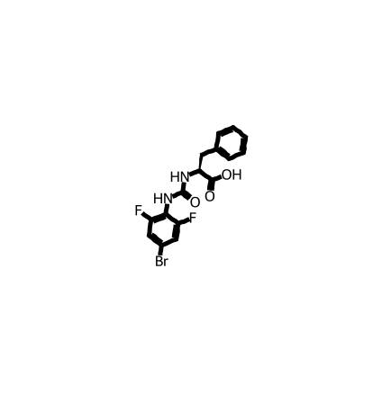 O=C(Nc1c(F)cc(Br)cc1F)N[C@@H](Cc1ccccc1)C(=O)O